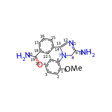 COc1ccccc1N1CC(N)=NC=C1c1cccc(C(N)=O)c1